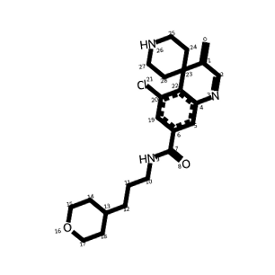 C=C1C=Nc2cc(C(=O)NCCCC3CCOCC3)cc(Cl)c2C12CCNCC2